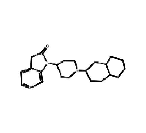 O=C1Cc2ccccc2N1C1CCN(C2CCC3CCCCC3C2)CC1